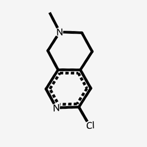 CN1CCc2cc(Cl)ncc2C1